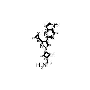 Cn1ccc2nc(-c3cn([C@H]4C[C@H](CN)C4)nc3C3CC3)ncc21